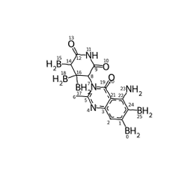 Bc1cc2nc(C)n(C3C(=O)NC(=O)C(B)C3(B)B)c(=O)c2c(N)c1B